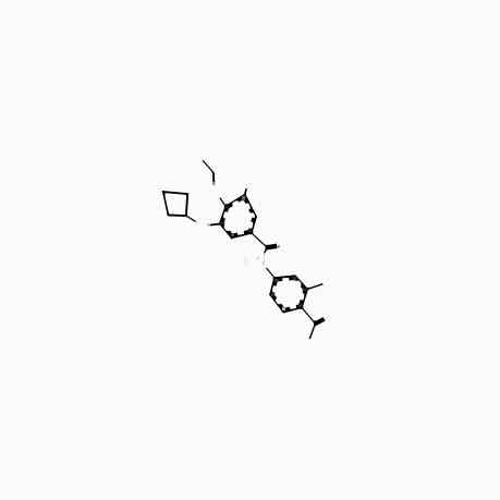 CCOc1c(Cl)cc(C(=O)Nc2ccc(C(C)=O)c(C)c2)cc1OC1CCC1